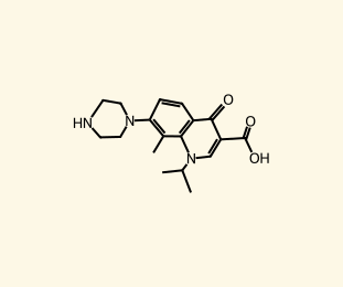 Cc1c(N2CCNCC2)ccc2c(=O)c(C(=O)O)cn(C(C)C)c12